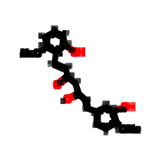 COc1ccc(C=CC(=O)CC(=O)C=Cc2c(O)cccc2OC)cc1O